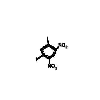 O=[N+]([O-])c1cc([N+](=O)[O-])c(I)cc1I